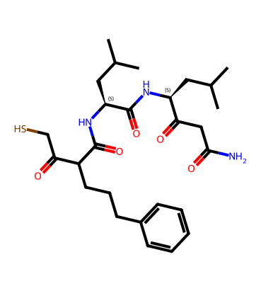 CC(C)C[C@H](NC(=O)[C@H](CC(C)C)NC(=O)C(CCCc1ccccc1)C(=O)CS)C(=O)CC(N)=O